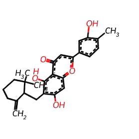 C=C1CCCC(C)(C)C1Cc1c(O)cc2oc(-c3ccc(C)c(O)c3)cc(=O)c2c1O